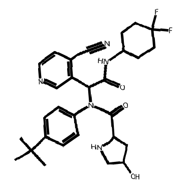 CC(C)(C)c1ccc(N(C(=O)C2CC(O)CN2)C(C(=O)NC2CCC(F)(F)CC2)c2cnccc2C#N)cc1